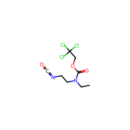 CCN(CCN=C=O)C(=O)OCC(Cl)(Cl)Cl